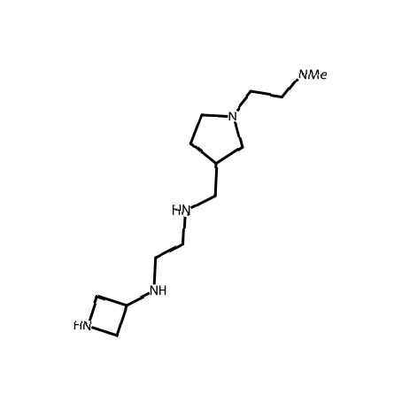 CNCCN1CCC(CNCCNC2CNC2)C1